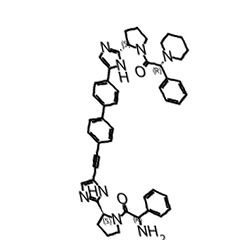 N[C@@H](C(=O)N1CCC[C@H]1c1ncc(C#Cc2ccc(-c3ccc(-c4cnc([C@@H]5CCCN5C(=O)[C@@H](c5ccccc5)N5CCCCC5)[nH]4)cc3)cc2)[nH]1)c1ccccc1